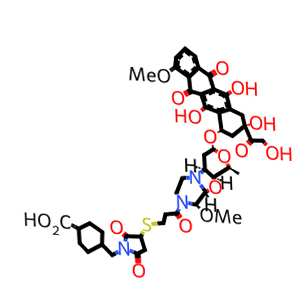 COc1cccc2c1C(=O)c1c(O)c3c(c(O)c1C2=O)C[C@@](O)(C(=O)CO)C[C@@H]3O[C@H]1C[C@H]2[C@H](O[C@@H]3[C@@H](OC)N(C(=O)CCSC4CC(=O)N(CC5CCC(C(=O)O)CC5)C4=O)CCN32)[C@H](C)O1